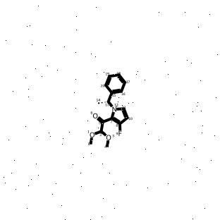 COC(OC)C(=O)c1c(F)ccn1[C@H](C)c1ccccc1